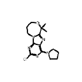 CC1(C)OCCCn2c1nc1c(N3CCCC3)nc(Cl)nc12